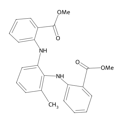 COC(=O)c1ccccc1Nc1cccc(C)c1Nc1ccccc1C(=O)OC